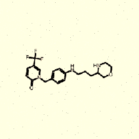 O=c1ccc(C(F)(F)F)cn1Cc1ccc(NCCCC2COCCN2)cc1